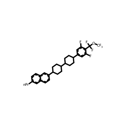 CCCc1ccc2cc(C3CCC(C4CCC(c5cc(F)c(C(F)(F)OC(F)(F)F)c(F)c5)CC4)CC3)ccc2c1